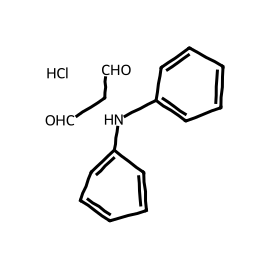 Cl.O=CCC=O.c1ccc(Nc2ccccc2)cc1